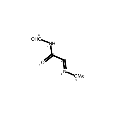 CON=CC(=O)N[C]=O